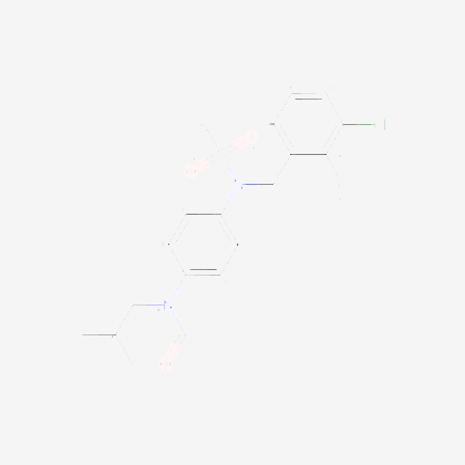 CC(C)CN(C=O)c1ccc(N(Cc2cccc(Cl)c2Cl)S(C)(=O)=O)cc1